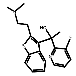 CN(C)CCc1sc2ccccc2c1C(C)(O)c1ncccc1F